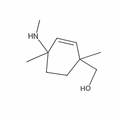 CNC1(C)C=CC(C)(CO)CC1